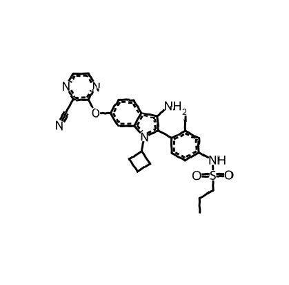 CCCS(=O)(=O)Nc1ccc(-c2c(N)c3ccc(Oc4nccnc4C#N)cc3n2C2CCC2)c(C)c1